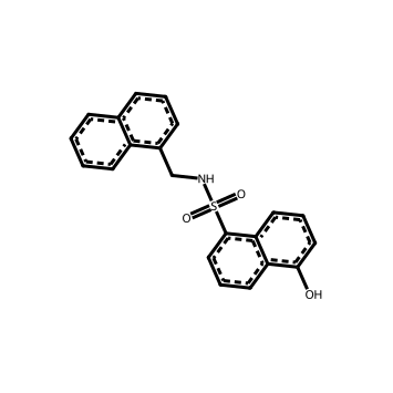 O=S(=O)(NCc1cccc2ccccc12)c1cccc2c(O)cccc12